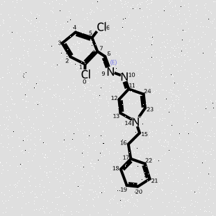 Clc1cccc(Cl)c1/C=N/N=c1ccn(CCc2ccccc2)cc1